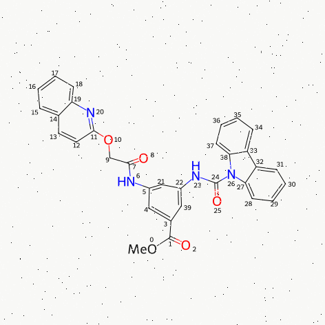 COC(=O)c1cc(NC(=O)COc2ccc3ccccc3n2)cc(NC(=O)n2c3ccccc3c3ccccc32)c1